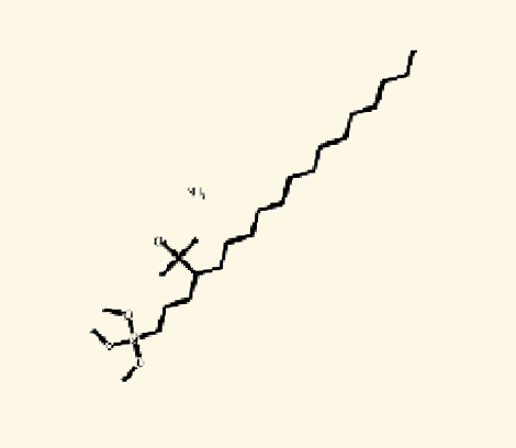 CCCCCCCCCCCCCCC(CCC[Si](OC)(OC)OC)C(C)(C)Cl.N